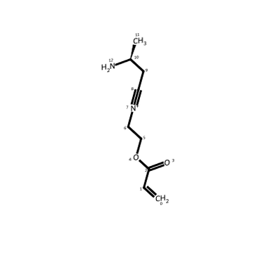 C=CC(=O)OCC[N+]#CC[C@H](C)N